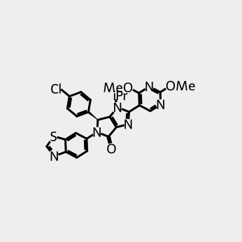 COc1ncc(-c2nc3c(n2C(C)C)[C@H](c2ccc(Cl)cc2)N(c2ccc4ncsc4c2)C3=O)c(OC)n1